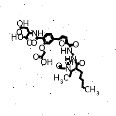 CCCCCC(C(=O)NCNC(=O)c1ccc(-c2ccc(C(=O)NC(CC(=O)O)C(=O)O)c(OCC(=O)O)c2)o1)C(CC)N(O)C=O